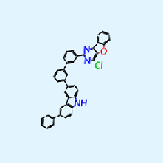 Clc1nc(-c2cccc(-c3cccc(-c4ccc5[nH]c6ccc(-c7ccccc7)cc6c5c4)c3)c2)nc2c1oc1ccccc12